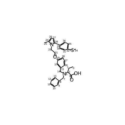 CCC(C(=O)O)N(Cc1ccccc1)Cc1cccc(OCCn2c(C)ccc2-c2ccc(SC)cc2)c1